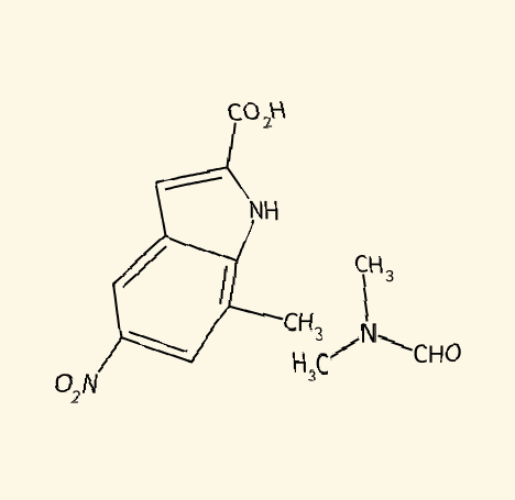 CN(C)C=O.Cc1cc([N+](=O)[O-])cc2cc(C(=O)O)[nH]c12